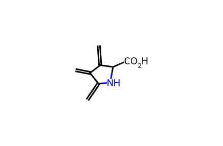 C=C1NC(C(=O)O)C(=C)C1=C